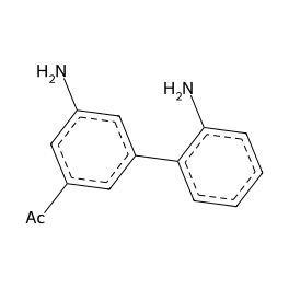 CC(=O)c1cc(N)cc(-c2ccccc2N)c1